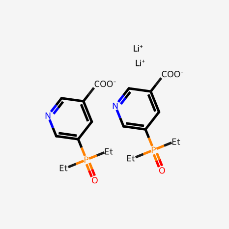 CCP(=O)(CC)c1cncc(C(=O)[O-])c1.CCP(=O)(CC)c1cncc(C(=O)[O-])c1.[Li+].[Li+]